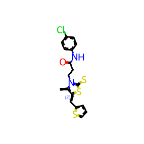 C=c1/c(=C/c2cccs2)sc(=S)n1CCC(=O)Nc1ccc(Cl)cc1